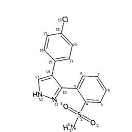 NS(=O)(=O)c1ccccc1-c1n[nH]cc1-c1ccc(Cl)cc1